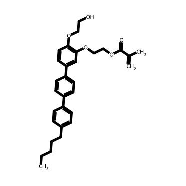 C=C(C)C(=O)OCCOc1cc(-c2ccc(-c3ccc(CCCCC)cc3)cc2)ccc1OCCO